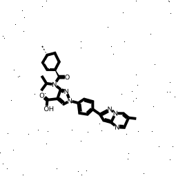 Cc1cnc2cc(-c3ccc(-n4cc(C(=O)O)c(N(C(=O)[C@H]5CC[C@H](C)CC5)C(C)C)n4)cc3)nn2c1